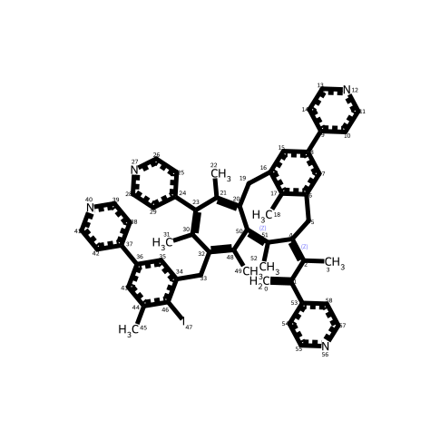 C=C(/C(C)=C1Cc2cc(-c3ccncc3)cc(c2C)CC2=C(C)C(c3ccncc3)=C(C)C(Cc3cc(-c4ccncc4)cc(C)c3I)=C(C)/C2=C/1C)c1ccncc1